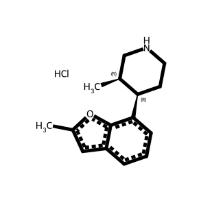 Cc1cc2cccc([C@@H]3CCNC[C@@H]3C)c2o1.Cl